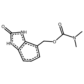 CN(C)C(=O)OCc1cccc2[nH]c(=O)[nH]c12